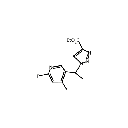 CCOC(=O)c1cn(C(C)c2cnc(F)cc2C)nn1